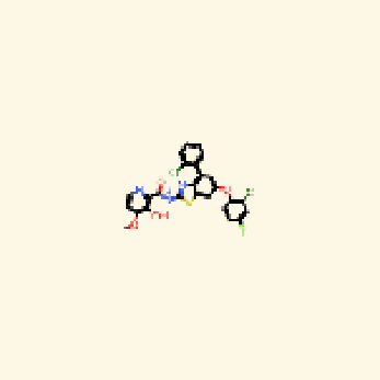 COc1ccnc(C(=O)Nc2nc3c(-c4ccccc4Cl)cc(Oc4ccc(F)cc4Cl)cc3s2)c1O